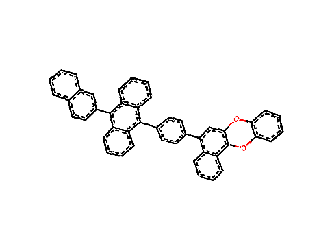 c1ccc2c(c1)Oc1cc(-c3ccc(-c4c5ccccc5c(-c5ccc6ccccc6c5)c5ccccc45)cc3)c3ccccc3c1O2